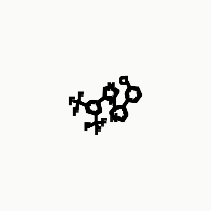 FC(F)(F)c1cc(-c2cncn2-c2cnccc2-c2cccc(Cl)c2)cc(C(F)(F)F)c1